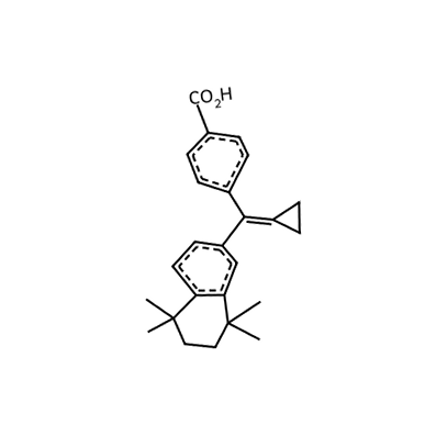 CC1(C)CCC(C)(C)c2cc(C(=C3CC3)c3ccc(C(=O)O)cc3)ccc21